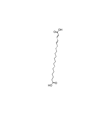 O=C(O)/C=C/C=C/CCCCCCCCCCCCCCC(=O)O